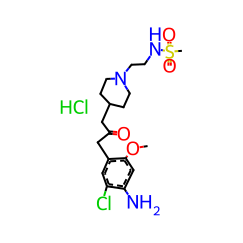 COc1cc(N)c(Cl)cc1CC(=O)CC1CCN(CCNS(C)(=O)=O)CC1.Cl